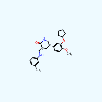 COc1ccc([C@H]2CNC(=O)[C@H](CNc3cccc(C)c3)C2)cc1OC1CCCC1